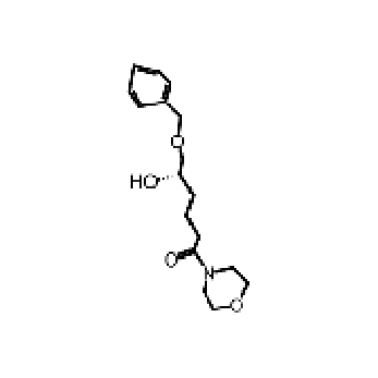 O=C(CCC[C@H](O)COCc1ccccc1)N1CCOCC1